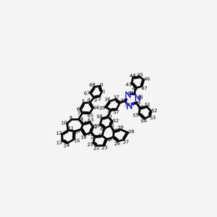 c1ccc(-c2ccc(C3CCc4ccccc4-c4cc(-c5cccc6c7ccccc7c7cc(-c8cccc(-c9nc(-c%10ccccc%10)nc(-c%10ccccc%10)n9)c8)ccc7c56)ccc43)cc2)cc1